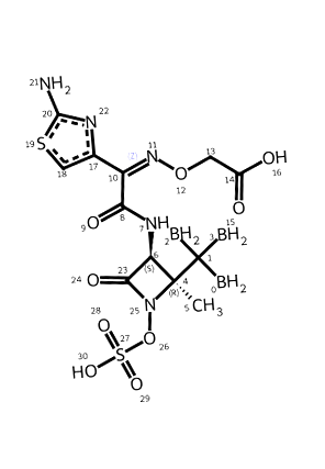 BC(B)(B)[C@]1(C)[C@H](NC(=O)/C(=N\OCC(=O)O)c2csc(N)n2)C(=O)N1OS(=O)(=O)O